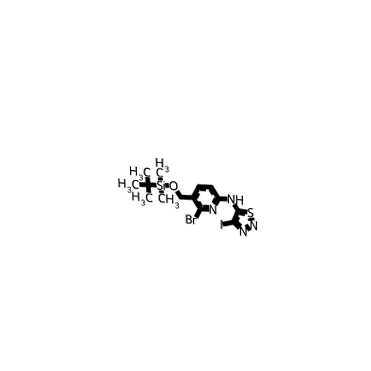 CC(C)(C)[Si](C)(C)OCc1ccc(Nc2snnc2I)nc1Br